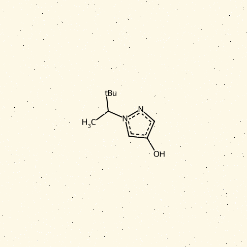 CC(n1cc(O)cn1)C(C)(C)C